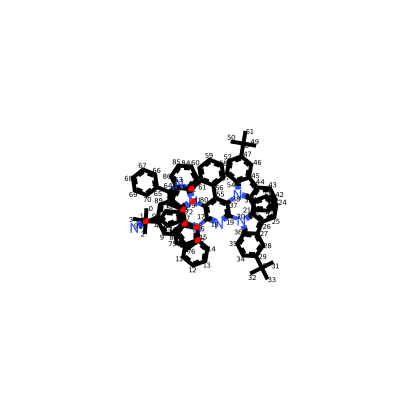 CC(C)(C)c1ccc2c(c1)c1ccccc1n2-c1nc(-n2c3ccccc3c3cc(C(C)(C)C)ccc32)c(-n2c3ccccc3c3cc(C(C)(C)C)ccc32)c(-c2ccccc2-c2nc(-c3ccccc3)cc(-c3ccccc3)n2)c1-n1c2ccccc2c2cc(C#N)ccc21